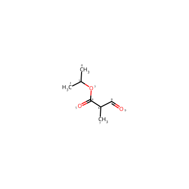 CC(C)OC(=O)C(C)C=O